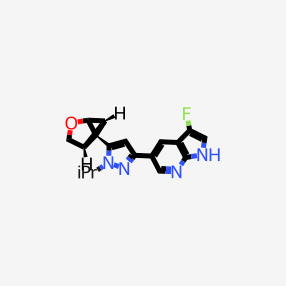 CC(C)n1nc(-c2cnc3[nH]cc(F)c3c2)cc1[C@]12C3OC[C@@H]1[C@H]32